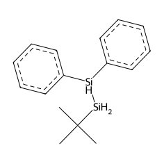 CC(C)(C)[SiH2][SiH](c1ccccc1)c1ccccc1